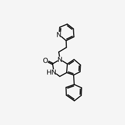 O=C1NCc2c(-c3ccccc3)cccc2N1CCc1ccccn1